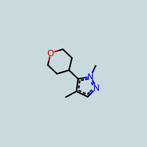 Cc1cnn(C)c1C1CCOCC1